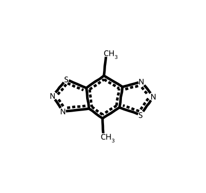 Cc1c2nnsc2c(C)c2nnsc12